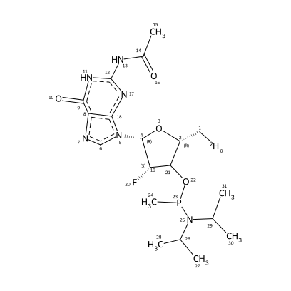 [2H]C[C@H]1O[C@@H](n2cnc3c(=O)[nH]c(NC(C)=O)nc32)[C@@H](F)C1OP(C)N(C(C)C)C(C)C